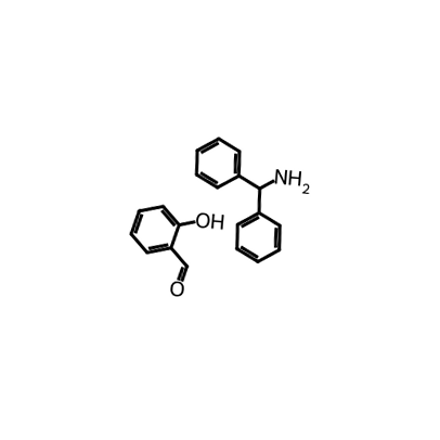 NC(c1ccccc1)c1ccccc1.O=Cc1ccccc1O